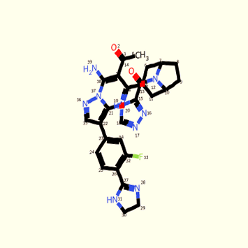 CC(=O)c1c(C2CC3CCC(C2)N3C(=O)c2nnc[nH]2)nc2c(-c3ccc(C4=NCCN4)c(F)c3)cnn2c1N